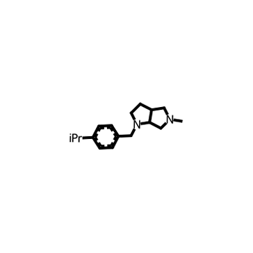 CC(C)c1ccc(CN2CCC3CN(C)CC32)cc1